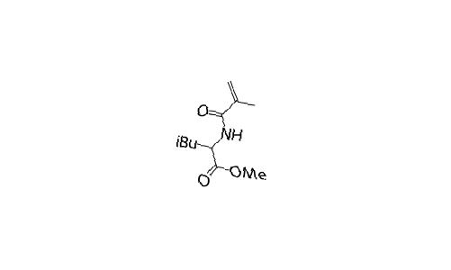 C=C(C)C(=O)NC(C(=O)OC)C(C)CC